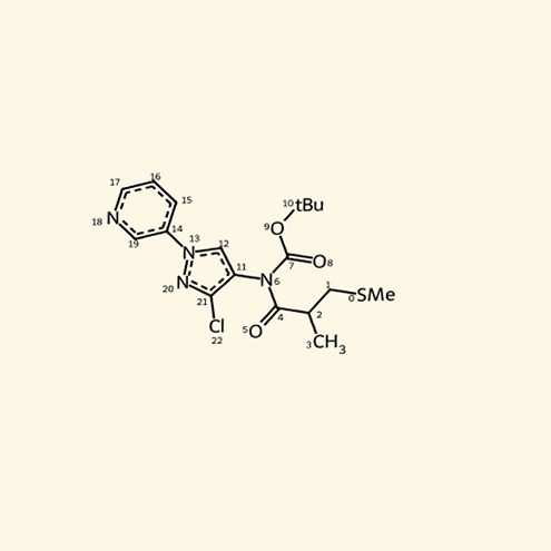 CSCC(C)C(=O)N(C(=O)OC(C)(C)C)c1cn(-c2cccnc2)nc1Cl